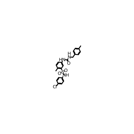 Cc1ccc(CNC(=O)Nc2ccc(C)c(S(=O)(=O)Nc3ccc(Cl)cc3)c2)cc1